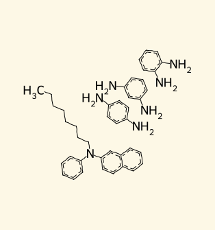 CCCCCCCCN(c1ccccc1)c1ccc2ccccc2c1.Nc1ccc(N)cc1.Nc1cccc(N)c1.Nc1ccccc1N